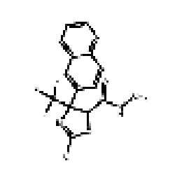 CNC(=O)C1OC(Cl)=NC1(c1ccc2ncccc2c1)C(F)(F)F